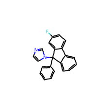 Fc1ccc2c(c1)C(c1ccccc1)(n1ccnc1)c1ccccc1-2